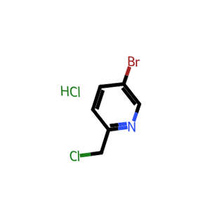 Cl.ClCc1ccc(Br)cn1